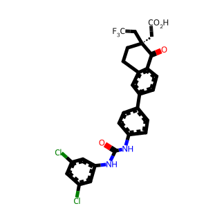 O=C(O)C[C@@]1(CC(F)(F)F)CCc2cc(-c3ccc(NC(=O)Nc4cc(Cl)cc(Cl)c4)cc3)ccc2C1=O